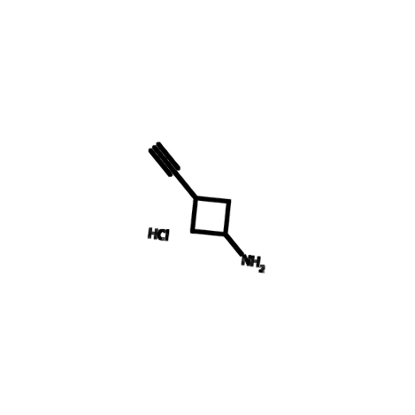 C#CC1CC(N)C1.Cl